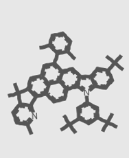 Cc1ccc2c(n1)-c1c(cc3cc(-c4c(C)cccc4C)c4cc5c6cc(C(C)(C)C)ccc6n(-c6cc(C(C)(C)C)cc(C(C)(C)C)c6)c5c5ccc1c3c45)C2(C)C